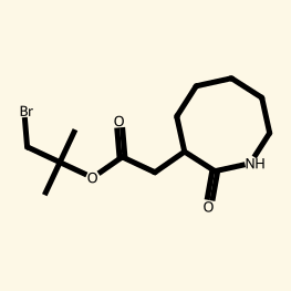 CC(C)(CBr)OC(=O)CC1CCCCCNC1=O